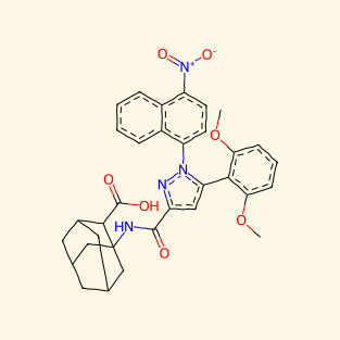 COc1cccc(OC)c1-c1cc(C(=O)NC23CC4CC(CC(C4)C2C(=O)O)C3)nn1-c1ccc([N+](=O)[O-])c2ccccc12